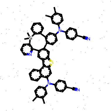 Cc1ccc(N(c2ccc(C#N)cc2)c2ccc3c(c2)-c2ccccc2[Si](C)(C)c2cccnc2-c2cc4c(cc2-3)sc2cc(N(c3ccc(C#N)cc3)c3ccc(C)c(C)c3)c3ccccc3c24)cc1C